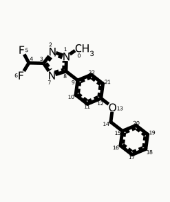 Cn1nc(C(F)F)nc1-c1ccc(OCc2ccccc2)cc1